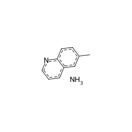 Cc1ccc2ncccc2c1.N